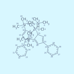 C[SiH](C)[Zr]([Cl])([Cl])([CH]1C=C(c2ccccc2)C=C1[Si](C)(C)C)[CH]1C=C(c2ccccc2)C=C1[Si](C)(C)C